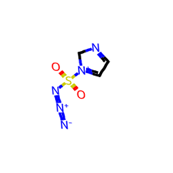 [N-]=[N+]=NS(=O)(=O)[N+]1=CC=NC1